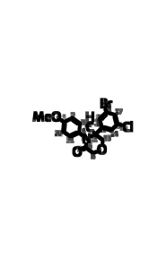 COc1ccc(N2C(=O)COCC2(C)c2cc(Cl)cc(Br)c2)cc1